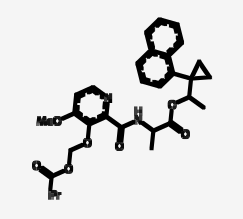 COc1ccnc(C(=O)NC(C)C(=O)OC(C)C2(c3cccc4ccccc34)CC2)c1OCOC(=O)C(C)C